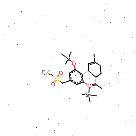 C=C(C)[C@H]1CCC(C)=C[C@H]1c1c(O[Si](C)(C)C)cc(CS(=O)(=O)C(F)(F)F)cc1O[Si](C)(C)C